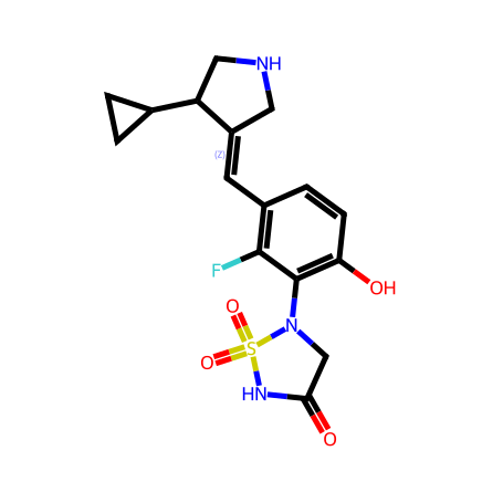 O=C1CN(c2c(O)ccc(/C=C3\CNCC3C3CC3)c2F)S(=O)(=O)N1